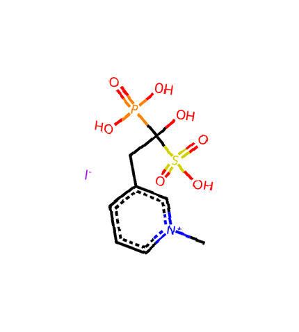 C[n+]1cccc(CC(O)(P(=O)(O)O)S(=O)(=O)O)c1.[I-]